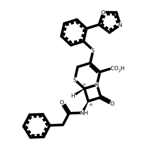 O=C(Cc1ccccc1)N[C@@H]1C(=O)N2C(C(=O)O)=C(Sc3ccccc3-c3cnco3)CS[C@@H]12